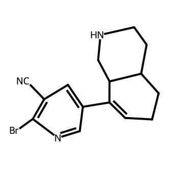 N#Cc1cc(C2=CCCC3CCNCC23)cnc1Br